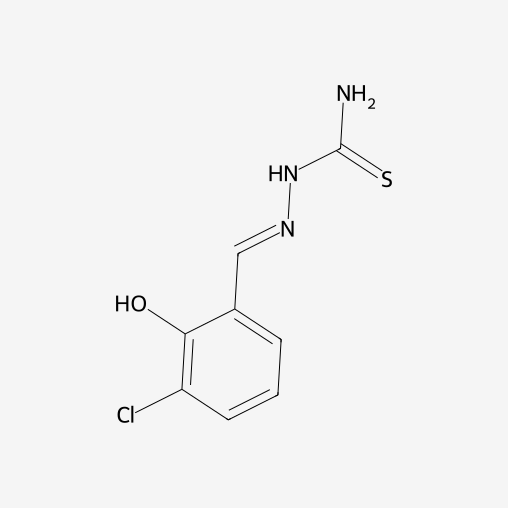 NC(=S)N/N=C/c1cccc(Cl)c1O